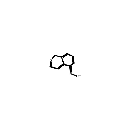 O/N=C1\C=CC=C2CN=CC=C21